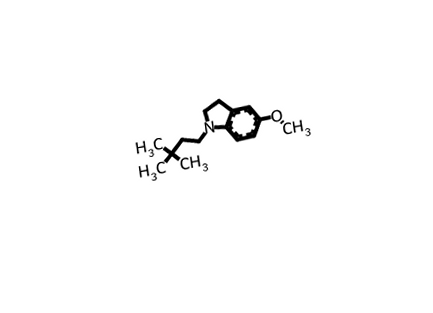 COc1ccc2c(c1)CCN2CCC(C)(C)C